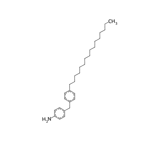 CCCCCCCCCCCCCCCCc1ccc(Cc2ccc(N)cc2)cc1